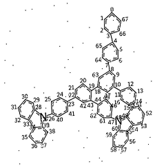 c1ccc(-c2ccc(-c3cc(-c4ccccc4)cc(-c4ccc(-c5ccc(-n6c7ccccc7c7ccccc76)cc5)cc4-c4ccc(-n5c6ccccc6c6ccccc65)cc4)c3)cc2)cc1